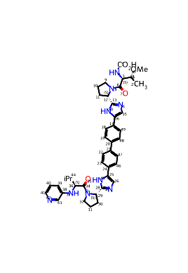 CO[C@H](C)[C@H](NC(=O)O)C(=O)N1CCC[C@H]1c1ncc(-c2ccc(-c3ccc(-c4cnc([C@@H]5CCCN5C(=O)[C@@H](Nc5cccnc5)C(C)C)[nH]4)cc3)cc2)[nH]1